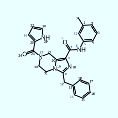 Cc1cccc(NC(=O)c2nc(Cc3ccccc3)n3c2CN(C(=O)c2ccc[nH]2)CC3)c1